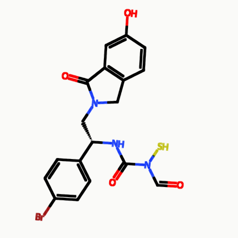 O=CN(S)C(=O)N[C@@H](CN1Cc2ccc(O)cc2C1=O)c1ccc(Br)cc1